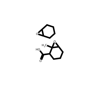 C1CCC2OC2C1.CC12OC1CCCC2C(=O)O